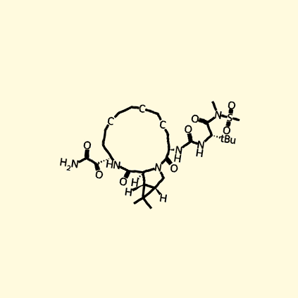 CN(C(=O)[C@@H](NC(=O)N[C@H]1CCCCCCCCC[C@@H](C(=O)C(N)=O)NC(=O)[C@@H]2[C@@H]3[C@H](CN2C1=O)C3(C)C)C(C)(C)C)S(C)(=O)=O